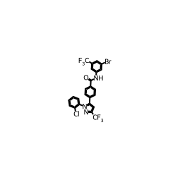 O=C(Nc1cc(Br)cc(C(F)(F)F)c1)c1ccc(-c2cc(C(F)(F)F)nn2-c2ccccc2Cl)cc1